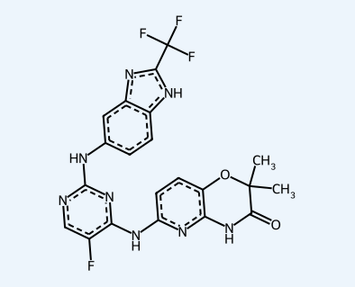 CC1(C)Oc2ccc(Nc3nc(Nc4ccc5[nH]c(C(F)(F)F)nc5c4)ncc3F)nc2NC1=O